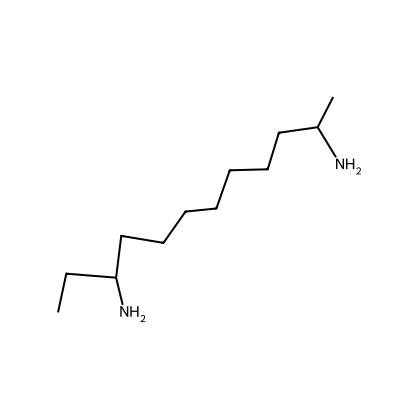 CCC(N)CCCCCCCC(C)N